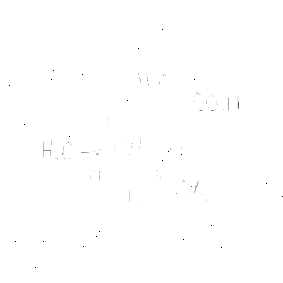 CC(C(=O)O)C(CO[Si](C)(C)C)O[Si](C)(C)C